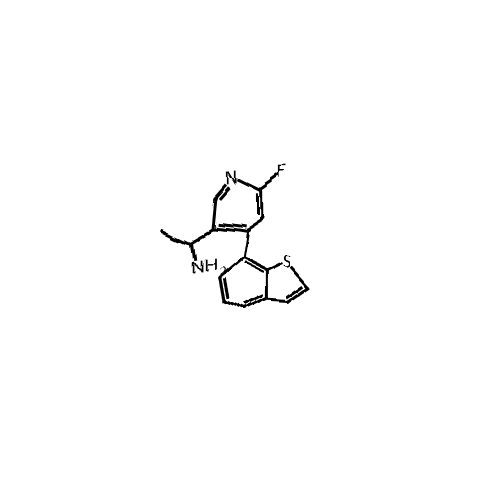 CC(N)c1cnc(F)cc1-c1cccc2ccsc12